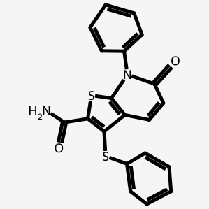 NC(=O)c1sc2c(ccc(=O)n2-c2ccccc2)c1Sc1ccccc1